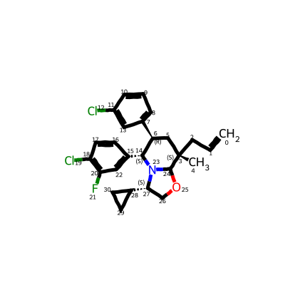 C=CC[C@@]1(C)C[C@H](c2cccc(Cl)c2)[C@@H](c2ccc(Cl)c(F)c2)N2C1OC[C@@H]2C1CC1